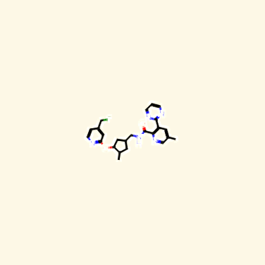 Cc1cnc(C(=O)NCC2CC(C)C(Oc3cc(CF)ccn3)C2)c(-c2ncccn2)c1